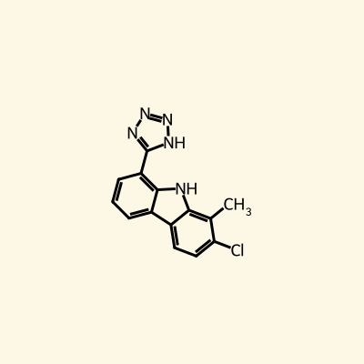 Cc1c(Cl)ccc2c1[nH]c1c(-c3nnn[nH]3)cccc12